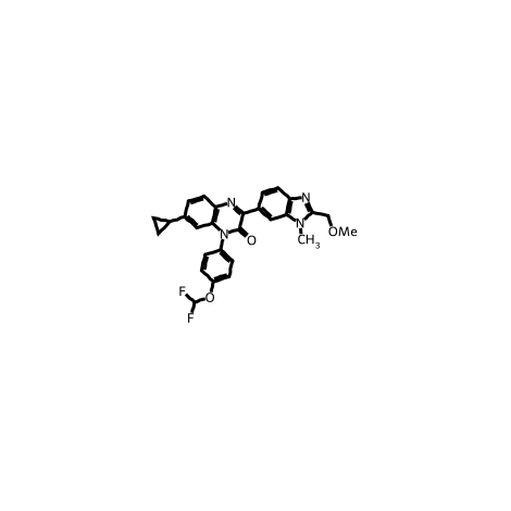 COCc1nc2ccc(-c3nc4ccc(C5CC5)cc4n(-c4ccc(OC(F)F)cc4)c3=O)cc2n1C